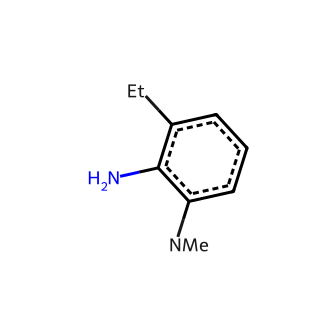 CCc1cccc(NC)c1N